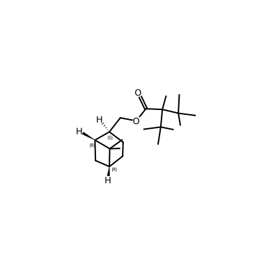 CC1(C)[C@@H]2CC[C@H](COC(=O)C(C)(C(C)(C)C)C(C)(C)C)[C@H]1C2